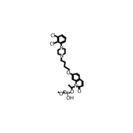 COOP(O)OC(C)n1c(=O)ccc2ccc(OCCCCN3CCN(c4cccc(Cl)c4Cl)CC3)cc21